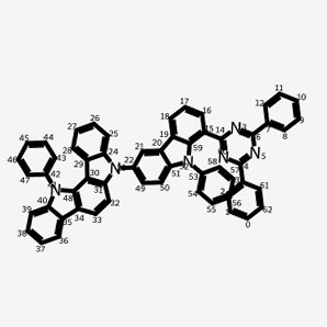 c1ccc(-c2nc(-c3ccccc3)nc(-c3cccc4c5cc(-n6c7ccccc7c7c6ccc6c8ccccc8n(-c8ccccc8)c67)ccc5n(-c5ccccc5)c34)n2)cc1